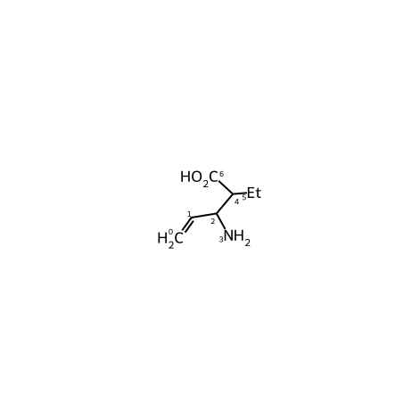 C=CC(N)C(CC)C(=O)O